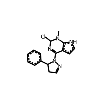 CN1c2[nH]ccc2C(N2N=CCC2c2ccccc2)=NC1Cl